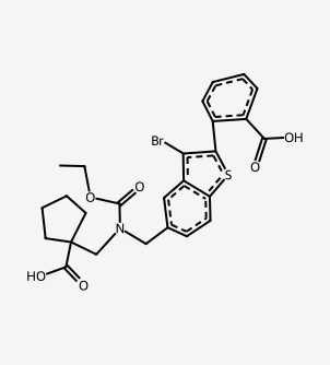 CCOC(=O)N(Cc1ccc2sc(-c3ccccc3C(=O)O)c(Br)c2c1)CC1(C(=O)O)CCCC1